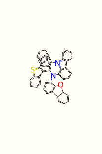 C1=CC2Oc3c(cccc3N(c3cc4ccccc4c4sc5ccccc5c34)c3cccc4c5ccccc5n(-c5ccccc5)c34)C2C=C1